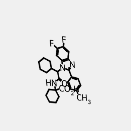 Cc1ccc(-c2nc3cc(F)c(F)cc3n2C(C(=O)NC2(C(=O)O)CCCCC2)C2CCCCC2)cc1